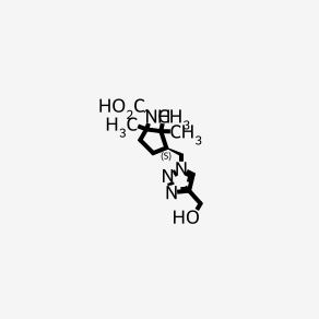 CC1(NC(=O)O)CC[C@H](Cn2cc(CO)nn2)C1(C)C